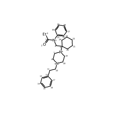 CCC(=O)N(CC1(N2CCN(CCc3ccccc3)CC2)CCCCC1)c1ccccc1